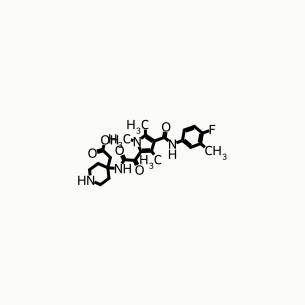 Cc1cc(NC(=O)c2c(C)c(C(=O)C(=O)NC3(CC(=O)O)CCNCC3)n(C)c2C)ccc1F